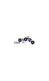 COc1cccc(SNc2ccc(C(=O)N3CCN(c4ccccc4)CC3)cc2)c1